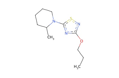 CCCOc1nsc(N2CCCCC2C)n1